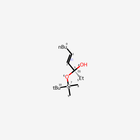 CCCC/C=C/[C@](O)(CC)O[Si](C)(C)C(C)(C)C